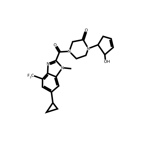 Cn1c(C(=O)N2CCN(C3CC=CC3O)C(=O)C2)nc2c(C(F)(F)F)cc(C3CC3)cc21